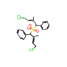 CC(=CCCl)C(c1ccccc1)S(=O)(=O)C(C(C)=CCCl)c1ccccc1